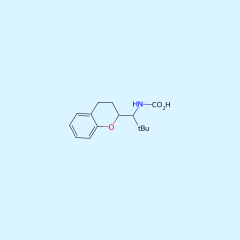 CC(C)(C)C(NC(=O)O)C1CCc2ccccc2O1